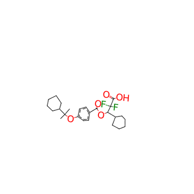 CC(C)(Oc1ccc(C(=O)OC(C2CCCCC2)C(F)(F)C(=O)O)cc1)C1CCCCC1